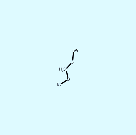 CCCS[SiH2]OCC